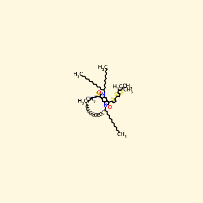 CCCCCCCCCCCCC(CCCCCCCCCC)CN1C(=O)C2=c3cc4c(cc31)=C(c1ccc(-c3cc5sc(C(C)(C)C)cc5s3)s1)C(=O)N4CC(CCCCCCCCCCCC)CCCCCCCCCCC(C)(C)/C=C/C=C/2S